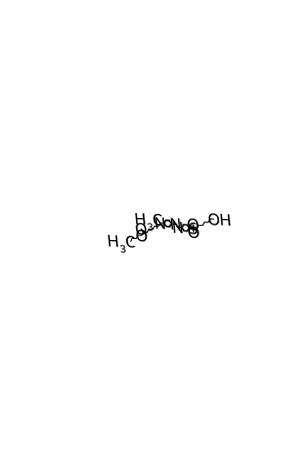 CCCCOC(=O)CCCCCN(C)c1ccc(N=Nc2ccc(S(=O)(=O)CCCCCCO)cc2)cc1